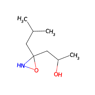 CC(C)CC1(CC(C)O)NO1